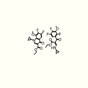 CCOC(=O)C(=CNC1CC1)C(=O)c1cc(F)c(F)c(OC)c1F.CCOC(=O)c1cn(C2CC2)c2c(OC)c(F)c(F)cc2c1=O